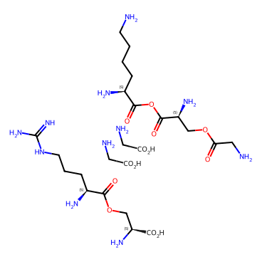 N=C(N)NCCC[C@H](N)C(=O)OC[C@H](N)C(=O)O.NCC(=O)O.NCC(=O)O.NCCCC[C@H](N)C(=O)OC(=O)[C@@H](N)COC(=O)CN